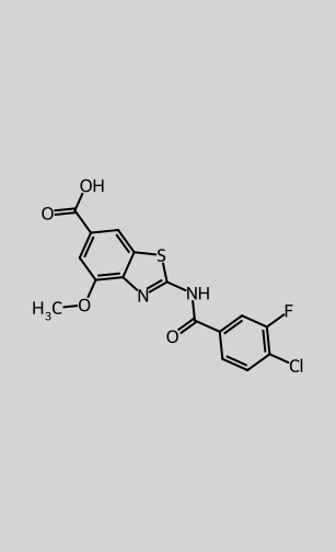 COc1cc(C(=O)O)cc2sc(NC(=O)c3ccc(Cl)c(F)c3)nc12